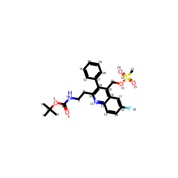 CC(C)(C)OC(=O)NCCc1nc2ccc(F)cc2c(COS(C)(=O)=O)c1-c1ccccc1